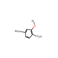 CCOC(=O)c1ccc(OC)cc1OCC